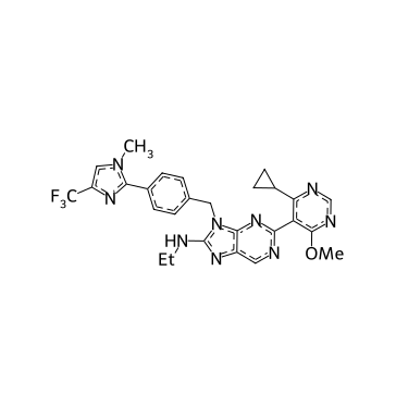 CCNc1nc2cnc(-c3c(OC)ncnc3C3CC3)nc2n1Cc1ccc(-c2nc(C(F)(F)F)cn2C)cc1